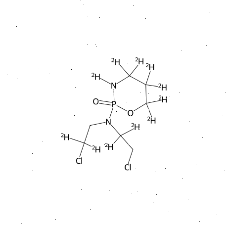 [2H]N1C([2H])([2H])C([2H])([2H])C([2H])([2H])OP1(=O)N(CC([2H])([2H])Cl)C([2H])([2H])CCl